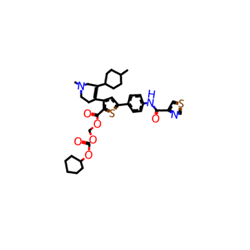 CC1CCC(C2=C(c3cc(-c4ccc(NC(=O)c5cscn5)cc4)sc3C(=O)OCOC(=O)OC3CCCCC3)CCN(C)C2)CC1